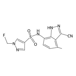 Cc1ccc(NS(=O)(=O)c2cnn(CF)c2)c2[nH]nc(C#N)c12